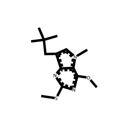 COc1nc(SC)nc2c(CC(C)(C)C)cn(C)c12